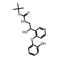 CC(C)(C)OC(=O)NCC(O)c1cnccc1Oc1ccccc1O